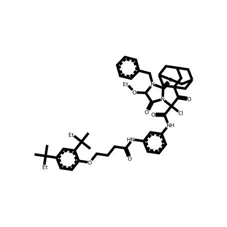 CCOC1C(=O)N(C(Cl)(C(=O)Nc2cccc(NC(=O)CCCOc3ccc(C(C)(C)CC)cc3C(C)(C)CC)c2)C(=O)C23CC4CC(CC(C4)C2)C3)C(=O)N1Cc1ccccc1